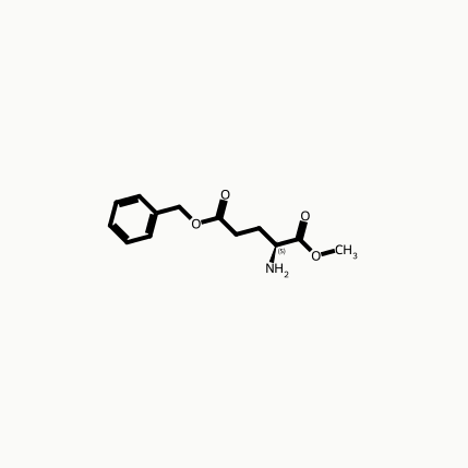 COC(=O)[C@@H](N)CCC(=O)OCc1ccccc1